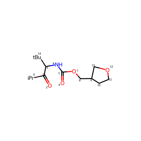 CC(C)C(=O)C(NC(=O)OCC1CCOC1)C(C)(C)C